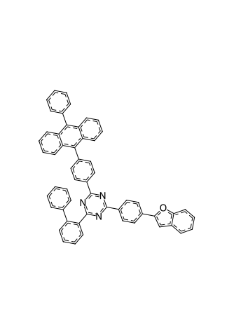 c1ccc(-c2ccccc2-c2nc(-c3ccc(-c4cc5ccccc5o4)cc3)nc(-c3ccc(-c4c5ccccc5c(-c5ccccc5)c5ccccc45)cc3)n2)cc1